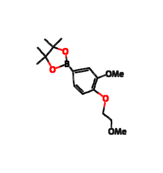 COCCOc1ccc(B2OC(C)(C)C(C)(C)O2)cc1OC